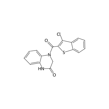 O=C1CN(C(=O)c2sc3ccccc3c2Cl)c2ccccc2N1